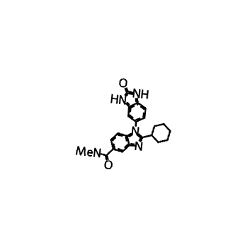 CNC(=O)c1ccc2c(c1)nc(C1CCCCC1)n2-c1ccc2[nH]c(=O)[nH]c2c1